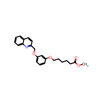 COC(=O)CCCCCOc1cccc(OCc2ccc3ccccc3n2)c1